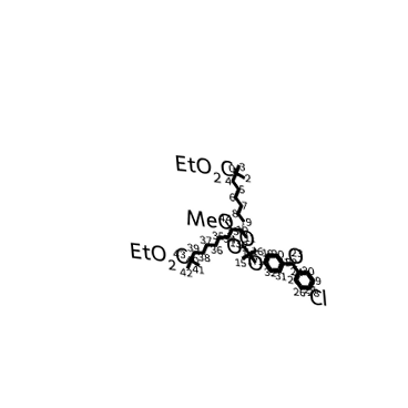 CCOC(=O)C(C)(C)CCCCCC[C@H](OC(=O)C(C)(C)Oc1ccc(C(=O)c2ccc(Cl)cc2)cc1)[C@@H](CCCCCCC(C)(C)C(=O)OCC)OC